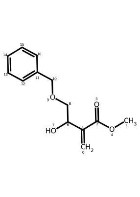 C=C(C(=O)OC)C(O)COCc1ccccc1